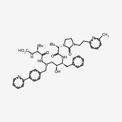 CC[C@H](C)[C@@H](C(=O)N[C@@H](Cc1ccccc1)[C@@H](O)CN(Cc1ccc(-c2ccccn2)cc1)NC(=O)[C@@H](NC(=O)O)C(C)(C)C)N1CCN(CCc2cccc(C)n2)C1=O